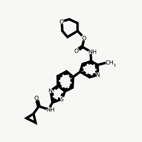 Cc1ncc(-c2ccc3nc(NC(=O)C4CC4)sc3c2)cc1NC(=O)OC1CCOCC1